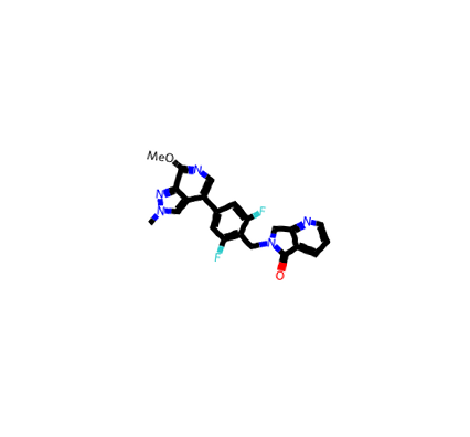 COc1ncc(-c2cc(F)c(CN3Cc4ncccc4C3=O)c(F)c2)c2cn(C)nc12